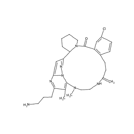 C=C1CCc2ccc(Cl)cc2C(=O)N2CCCCC2c2cc3nc(CCCN)c(C)c(n3n2)N(C)CCN1